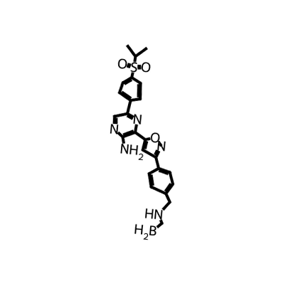 BCNCc1ccc(-c2cc(-c3nc(-c4ccc(S(=O)(=O)C(C)C)cc4)cnc3N)on2)cc1